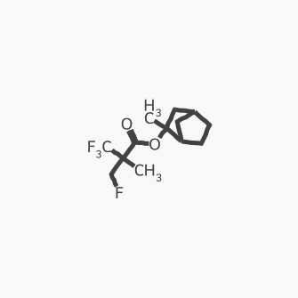 CC1(OC(=O)C(C)(CF)C(F)(F)F)CC2CCC1C2